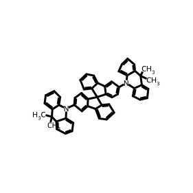 CC1(C)c2ccccc2N(c2ccc3c(c2)-c2ccccc2C32c3ccccc3-c3cc(N4c5ccccc5C(C)(C)c5ccccc54)ccc32)c2ccccc21